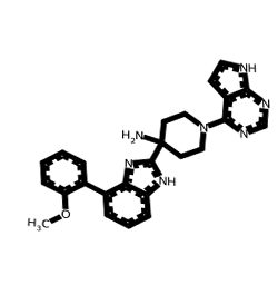 COc1ccccc1-c1cccc2[nH]c(C3(N)CCN(c4ncnc5[nH]ccc45)CC3)nc12